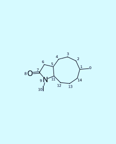 CC1CCCC2CC(=O)N(I)C2CCC1